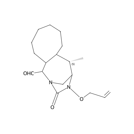 C=CCON1C(=O)N2CC1[C@@H](C)C1CCCCCCC1C2C=O